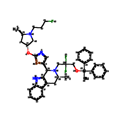 C[C@@H]1C[C@@H](Oc2ncc([C@@H]3c4[nH]c5ccccc5c4C[C@@H](C)N3CC(F)(F)CO[Si](c3ccccc3)(c3ccccc3)C(C)(C)C)s2)CN1CCCF